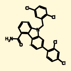 NC(=O)c1cccc2c1c1[c]cc(-c3ccc(Cl)cc3Cl)cc1n2Cc1cc(Cl)ccc1Cl